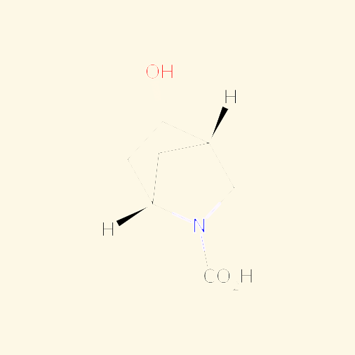 O=C(O)N1C[C@@H]2C[C@H]1C[C@@H]2O